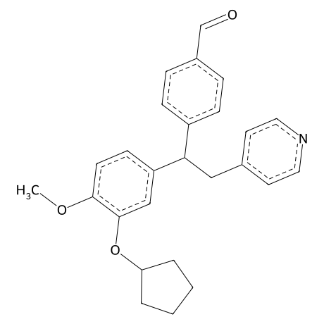 COc1ccc(C(Cc2ccncc2)c2ccc(C=O)cc2)cc1OC1CCCC1